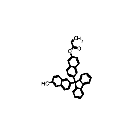 C=CC(=O)Oc1ccc2cc(C3(c4ccc5cc(O)ccc5c4)c4ccccc4-c4ccccc43)ccc2c1